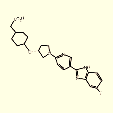 O=C(O)CC1CCC(O[C@@H]2CCN(c3ccc(-c4nc5cc(F)ccc5[nH]4)cn3)C2)CC1